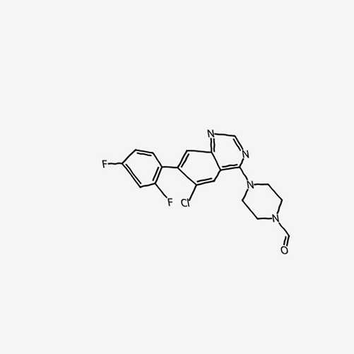 O=CN1CCN(c2ncnc3cc(-c4ccc(F)cc4F)c(Cl)cc23)CC1